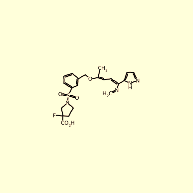 C=N/C(=C\C=C(/C)OCc1cccc(S(=O)(=O)N2CCC(F)(C(=O)O)C2)c1)c1ccn[nH]1